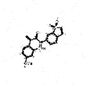 C=C(C(=O)Nc1ccc2c(c1)S(=O)(=O)C=C2)c1ccc(OC)cc1OC